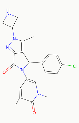 Cc1cc(N2C(=O)c3nn(C4CNC4)c(C)c3C2c2ccc(Cl)cc2)cn(C)c1=O